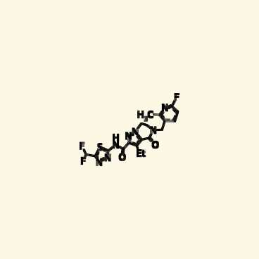 CCc1c(C(=O)Nc2nnc(C(F)F)s2)nn2c1C(=O)N(Cc1ccc(F)nc1C)CC2